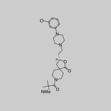 CNC(C)(C)C(=O)N1CCC2(CC1)C[C@H](CCN1CCN(c3cccc(Cl)c3)CC1)OC2=O